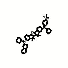 CC1(C)c2cc(N(c3ccccc3)c3ccc([Si](C)(C)C)cc3)ccc2-c2oc3c(c21)C(C)(C)c1cc(N(c2ccccc2)c2ccc4ccccc4c2)ccc1-3